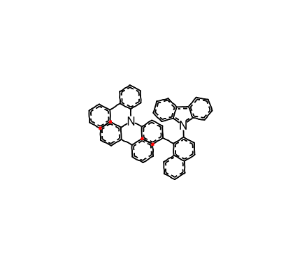 c1ccc(-c2ccccc2N(c2ccc(-c3c(-n4c5ccccc5c5ccccc54)ccc4ccccc34)cc2)c2ccccc2-c2ccccc2)cc1